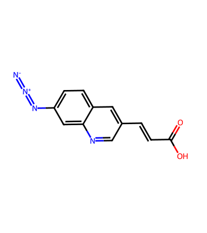 [N-]=[N+]=Nc1ccc2cc(/C=C/C(=O)O)cnc2c1